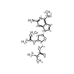 CNc1nc(N)nc2c1ncn2[C@@H]1O[C@H](COC(=O)C(C)C)[C@@H](OC(C)=O)[C@@H]1C